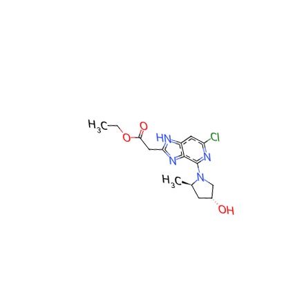 CCOC(=O)Cc1nc2c(N3C[C@H](O)C[C@H]3C)nc(Cl)cc2[nH]1